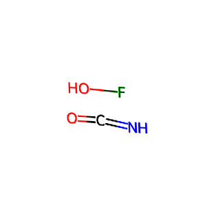 N=C=O.OF